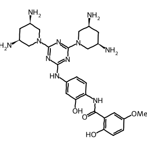 COc1ccc(O)c(C(=O)Nc2ccc(Nc3nc(N4C[C@H](N)C[C@H](N)C4)nc(N4C[C@H](N)C[C@H](N)C4)n3)cc2O)c1